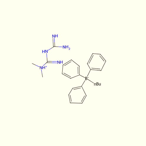 CCCC[B-](c1ccccc1)(c1ccccc1)c1ccccc1.C[NH+](C)C(=N)NC(=N)N